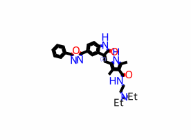 CCN(CC)CCNC(=O)c1c(C)[nH]c(/C=C2\C(=O)Nc3ccc(-c4nnc(-c5ccccc5)o4)cc32)c1C